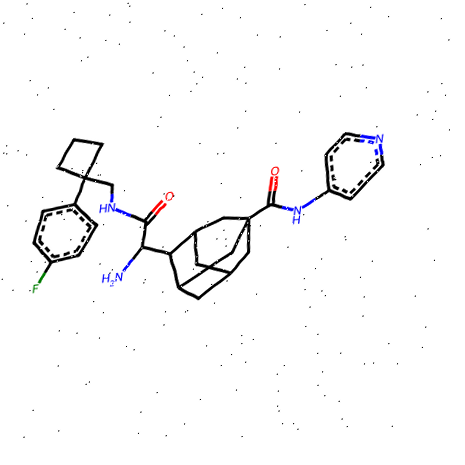 NC(C(=O)NCC1(c2ccc(F)cc2)CCC1)C1C2CC3CC1CC(C(=O)Nc1ccncc1)(C3)C2